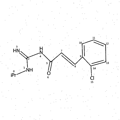 CC(C)NC(=N)NC(=O)C=Cc1ccccc1Cl